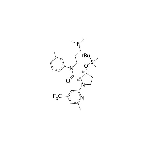 Cc1cccc(N(CCCN(C)C)C(=O)[C@@H]2[C@H](O[Si](C)(C)C(C)(C)C)CCN2c2cc(C(F)(F)F)cc(C)n2)c1